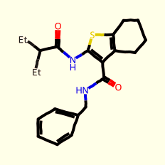 CCC(CC)C(=O)Nc1sc2c(c1C(=O)NCc1ccccc1)CCCC2